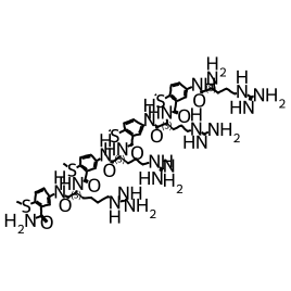 CSc1ccc(NC(=O)[C@H](CCCCNC(=N)N)NC(=O)c2cc(NC(=O)[C@H](CCCNC(=N)N)NC(=O)c3cc(NC(=O)[C@H](CCCNC(=N)N)NC(=O)c4cc(NC(=O)[C@@H](N)CCCNC(=N)N)ccc4SC)ccc3SC)ccc2SC)cc1C(N)=O